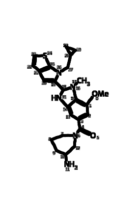 COc1cc(C(=O)N2CCCC(N)C2)cc2c1N(C)C(c1cc3ccsc3n1CC1CC1)N2